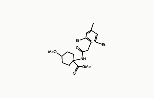 CCc1cc(C)cc(CC)c1CC(=O)NC1(C(=O)OC)CCC(OC)CC1